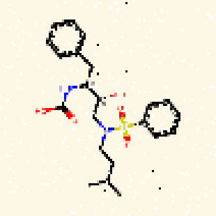 CC(C)CCN(C[C@@H](O)[C@H](Cc1ccccc1)NC(=O)O)S(=O)(=O)c1ccccc1